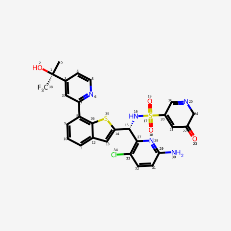 C[C@](O)(c1ccnc(-c2cccc3cc([C@H](NS(=O)(=O)C4=CC(=O)CN=C4)c4nc(N)ccc4Cl)sc23)c1)C(F)(F)F